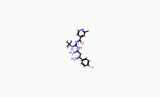 Cc1cc(C(=O)/N=C(\NC(N)CC(N)c2ccc(F)cc2)NC(C)(C)C)ccn1